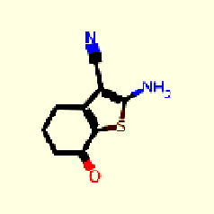 N#Cc1c(N)sc2c1CCCC2=O